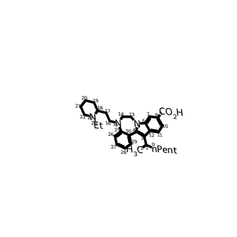 CCCCCC(C)c1c2n(c3cc(C(=O)O)ccc13)CCN(CCC1CCCCN1CC)c1ccccc1-2